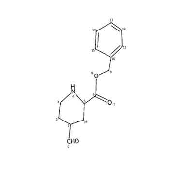 O=CC1CCNC(C(=O)OCc2ccccc2)C1